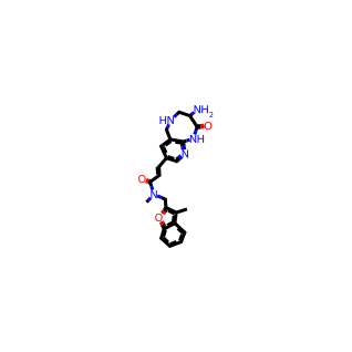 Cc1c(CN(C)C(=O)/C=C/c2cnc3c(c2)CNCC(N)C(=O)N3)oc2ccccc12